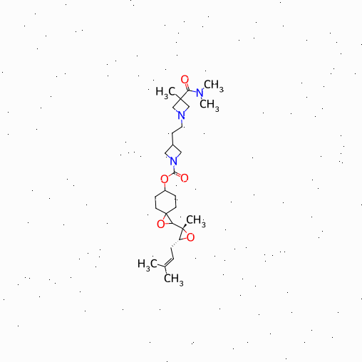 CC(C)=CC[C@H]1O[C@@]1(C)C1OC12CCC(OC(=O)N1CC(CCN3CC(C)(C(=O)N(C)C)C3)C1)CC2